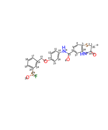 C[C@H]1Sc2ccc(C(=O)Nc3ccc(OCc4cccc([S+]([O-])F)c4)cc3)cc2NC1=O